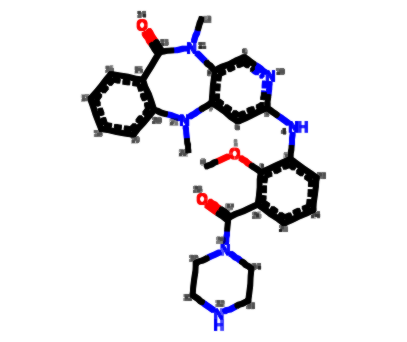 COc1c(Nc2cc3c(cn2)N(C)C(=O)c2ccccc2N3C)cccc1C(=O)N1CCNCC1